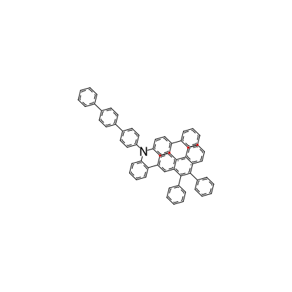 c1ccc(-c2ccc(-c3ccc(N(c4ccc(-c5ccccc5)cc4)c4ccccc4-c4ccc5c(c4)c(-c4ccccc4)c(-c4ccccc4)c4ccccc45)cc3)cc2)cc1